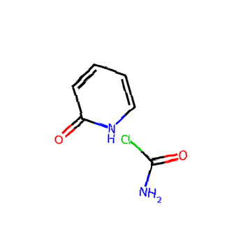 NC(=O)Cl.O=c1cccc[nH]1